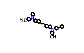 N#Cc1ccc(N(c2ccccc2)c2ccc3cc(/C=C/c4ccc5cc(N(c6ccc(C#N)cc6)c6ccc(-c7ccccc7)cc6)ccc5c4)ccc3c2)cc1